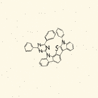 c1ccc(-c2nc(-c3ccccc3)nc(-n3c4ccccc4c4ccc5c(sc6c5c5ccccc5n6-c5ccccc5)c43)n2)cc1